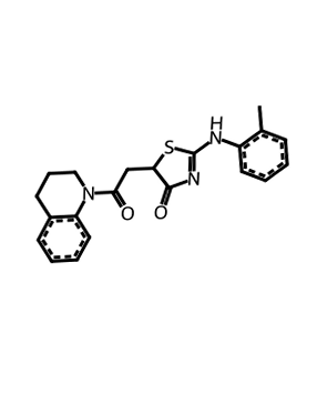 Cc1ccccc1NC1=NC(=O)C(CC(=O)N2CCCc3ccccc32)S1